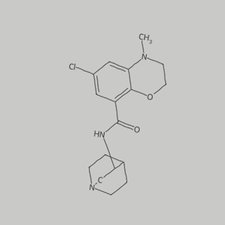 CN1CCOc2c(C(=O)NC3CN4CCC3CC4)cc(Cl)cc21